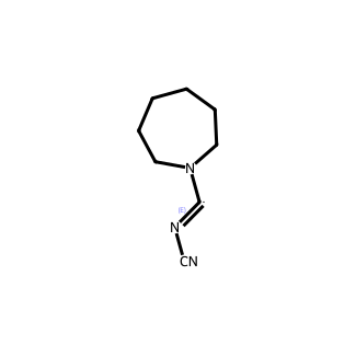 N#C/N=[C]/N1CCCCCC1